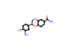 NC(=O)c1ccc2c(c1)OCC(c1ccc(Cl)c(N)c1)O2